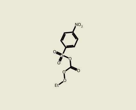 CCOOC(=O)OS(=O)(=O)c1ccc([N+](=O)[O-])cc1